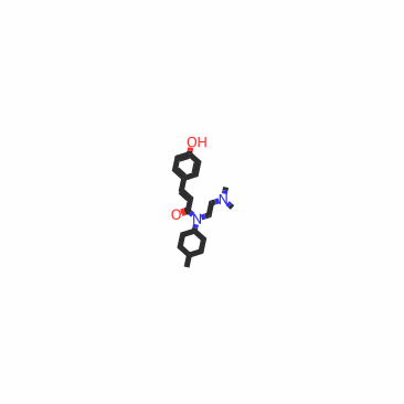 CC1CCC(N(CCN(C)C)C(=O)C=Cc2ccc(O)cc2)CC1